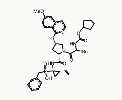 C=C[C@@H]1C[C@]1(NC(=O)[C@@H]1C[C@@H](Oc2nccc3cc(OC)ccc23)CN1C(=O)C(NC(=O)OC1CCCC1)C(C)(C)C)P(=O)(O)Cc1ccccc1